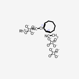 C1=C\CCCC\C=C/1.CC#N.CC#N.[O-][Cl+3]([O-])([O-])[O-].[O-][Cl+3]([O-])([O-])[O-].[O-][Cl+3]([O-])([O-])[O-].[Rh+3]